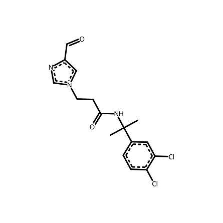 CC(C)(NC(=O)CCn1cnc(C=O)c1)c1ccc(Cl)c(Cl)c1